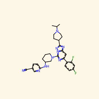 CC(C)N1CCC(c2nc3cc(-c4ccc(F)cc4F)nc(N4CCCC(Nc5ccc(C#N)cn5)C4)n3n2)CC1